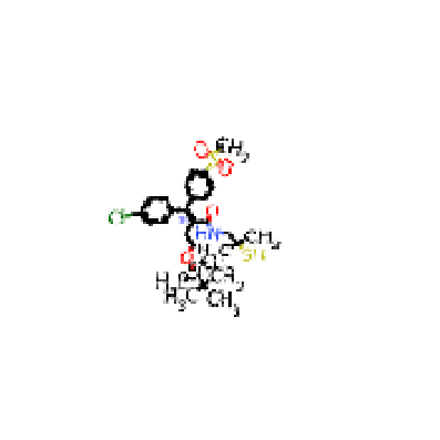 CC(C)(S)CNC(=O)/C(CCO[Si](C)(C)C(C)(C)C)=C(/c1ccc(Cl)cc1)c1ccc(S(C)(=O)=O)cc1